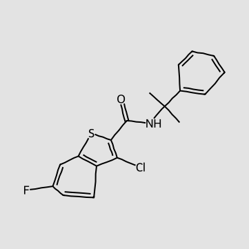 CC(C)(NC(=O)c1sc2cc(F)ccc2c1Cl)c1ccccc1